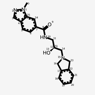 Cn1ncc2ccc(C(=O)NC[C@H](O)CN3Cc4ccccc4C3)cc21